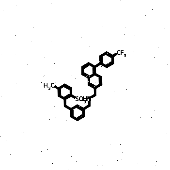 Cc1ccc(S(=O)(=O)O)c(Cc2cccc(CNCc3ccc4c(-c5ccc(C(F)(F)F)cc5)cccc4c3)c2)c1